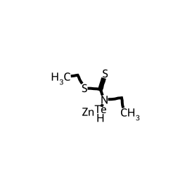 CCSC(=S)N([TeH])CC.[Zn]